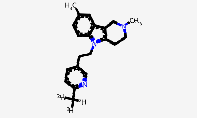 [2H]C([2H])([2H])c1ccc(CCn2c3c(c4cc(C)ccc42)CN(C)CC3)cn1